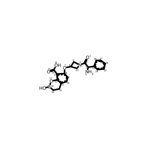 NC(C(=O)N1CC(Oc2ccc3c(c2C(=O)O)OB(O)CC3)C1)c1ccccc1